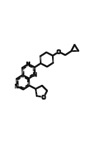 c1ncc2cnc(C3CCC(OCC4CC4)CC3)nc2c1C1CCOC1